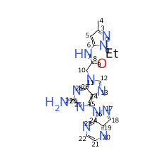 CCn1nc(C)cc1NC(=O)Cn1cnc2c(-n3ncc4nccnc43)nc(N)nc21